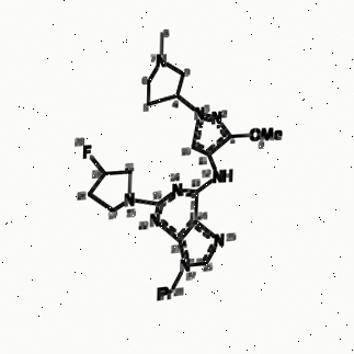 COc1nn(C2CCN(C)C2)cc1Nc1nc(N2CCC(F)C2)nc2c1ncn2C(C)C